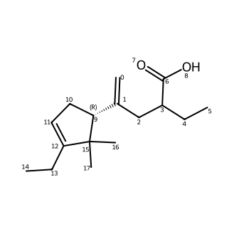 C=C(CC(CC)C(=O)O)[C@H]1CC=C(CC)C1(C)C